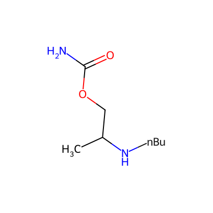 CCCCNC(C)COC(N)=O